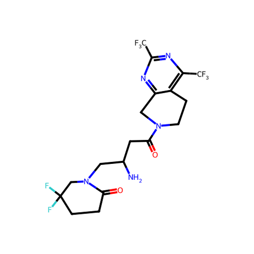 NC(CC(=O)N1CCc2c(nc(C(F)(F)F)nc2C(F)(F)F)C1)CN1CC(F)(F)CCC1=O